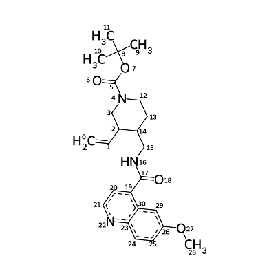 C=CC1CN(C(=O)OC(C)(C)C)CCC1CNC(=O)c1ccnc2ccc(OC)cc12